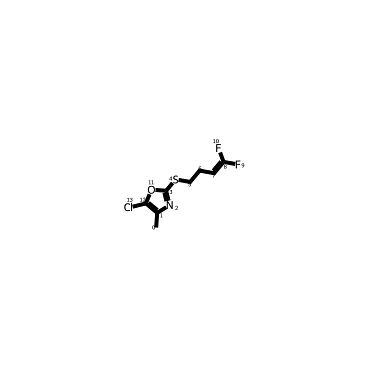 Cc1nc(SCCC=C(F)F)oc1Cl